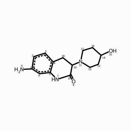 Nc1ccc2c(c1)NC(=O)C(N1CCC(O)CC1)C2